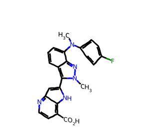 CN(c1ccc(F)cc1)c1cccc2c(-c3cc4nccc(C(=O)O)c4[nH]3)n(C)nc12